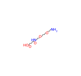 NCCCOCCCCOCCCNC(=O)CCCC(=O)O